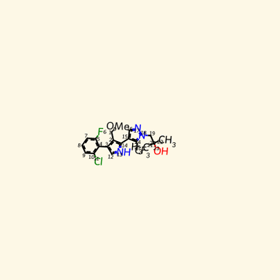 COCc1c(-c2c(F)cccc2Cl)c[nH]c1-c1cnn(CC(C)(C)O)c1C(F)(F)F